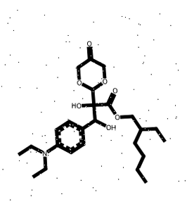 CCCCC(CC)COC(=O)C(O)(C1OCC(=O)CO1)C(O)c1ccc(N(CC)CC)cc1